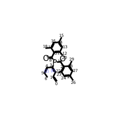 C=C/C=C(\C=C/C)P(C(=O)c1c(C)cc(C)cc1C)C(=O)c1c(C)cc(C)cc1C